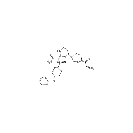 C=CC(=O)N1CCC([C@@H]2CCNc3c(C(N)=O)[14c](-c4ccc(Oc5ccccc5)cc4)nn32)CC1